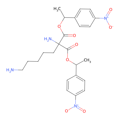 CC(OC(=O)C(N)(CCCCCN)C(=O)OC(C)c1ccc([N+](=O)[O-])cc1)c1ccc([N+](=O)[O-])cc1